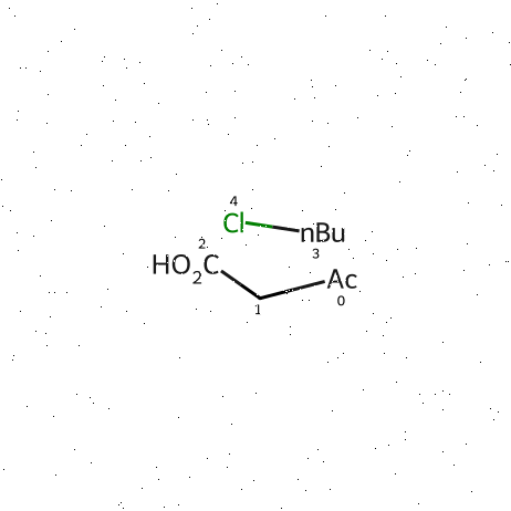 CC(=O)CC(=O)O.CCCCCl